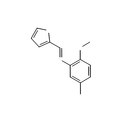 COc1ccc(C)cc1/N=C/c1ccco1